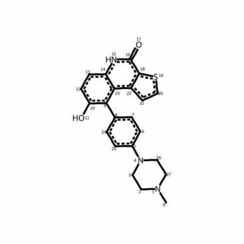 CN1CCN(c2ccc(-c3c(O)ccc4[nH]c(=O)c5sccc5c34)cc2)CC1